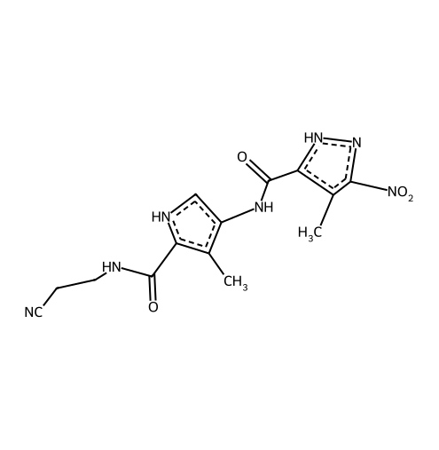 Cc1c(NC(=O)c2[nH]nc([N+](=O)[O-])c2C)c[nH]c1C(=O)NCCC#N